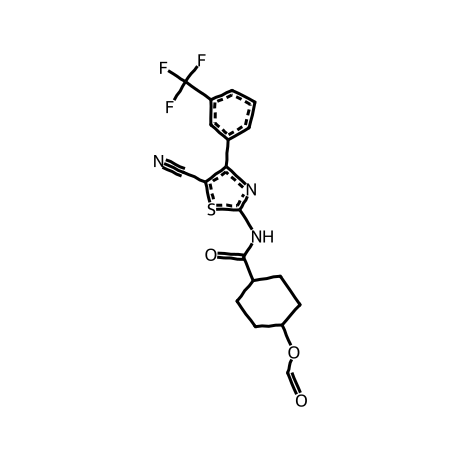 N#Cc1sc(NC(=O)C2CCC(OC=O)CC2)nc1-c1cccc(C(F)(F)F)c1